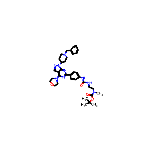 CN(CCNC(=O)Nc1ccc(-c2nc(N3CCOCC3)c3cnn(C4CCN(Cc5ccccc5)CC4)c3n2)cc1)C(=O)OC(C)(C)C